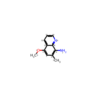 COc1cc(C)c(N)c2ncccc12